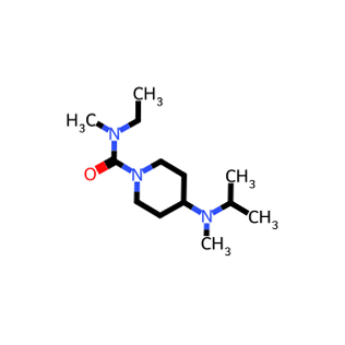 CCN(C)C(=O)N1CCC(N(C)C(C)C)CC1